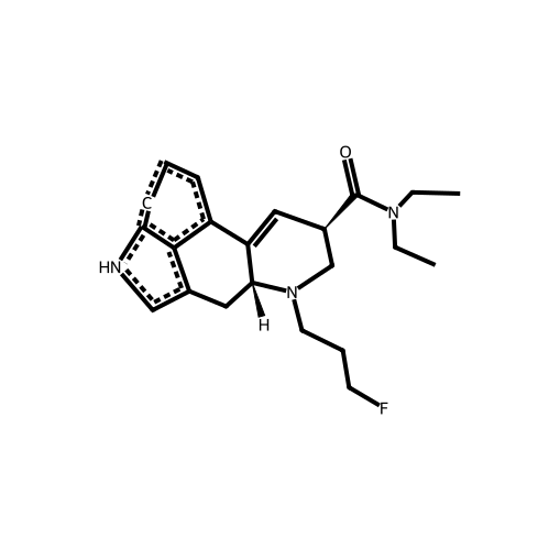 CCN(CC)C(=O)[C@@H]1C=C2c3cccc4[nH]cc(c34)C[C@H]2N(CCCF)C1